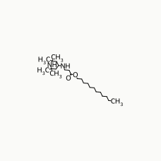 CCCCCCCCCCCCOC(=O)CCNC1CC(C)(C)NC(C)(C)C1